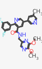 COc1ncc(CNC(=O)c2cc(-c3cncc(C)c3)cnc2-c2cc(F)cc(F)c2)nc1OC